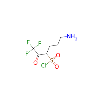 NCCCC(C(=O)C(F)(F)F)S(=O)(=O)Cl